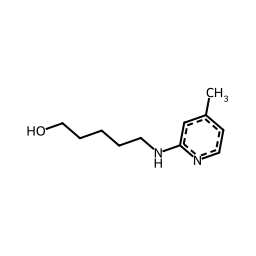 Cc1ccnc(NCCCCCO)c1